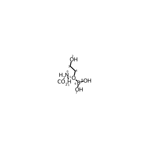 NC(=O)O.OCCOB(O)O